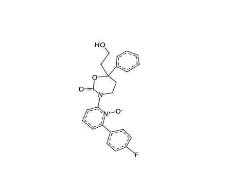 O=C1OC(CCO)(c2ccccc2)CCN1c1cccc(-c2ccc(F)cc2)[n+]1[O-]